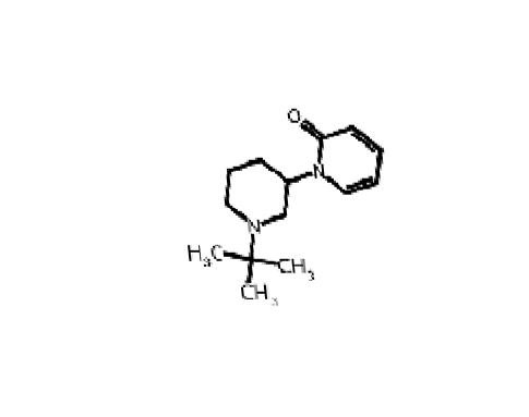 CC(C)(C)N1CCCC(n2ccccc2=O)C1